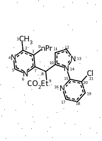 CCCc1c(C)ncnc1C(C(=O)OCC)c1ccnn1-c1ncccc1Cl